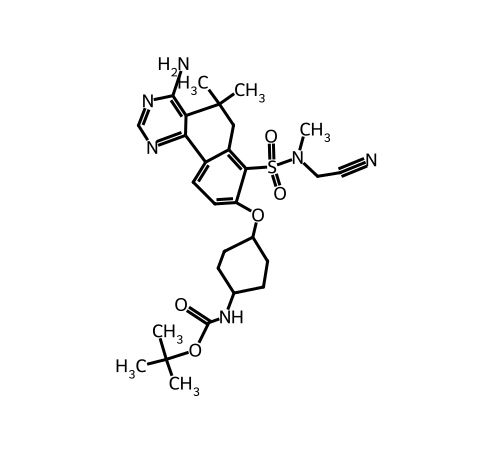 CN(CC#N)S(=O)(=O)c1c(OC2CCC(NC(=O)OC(C)(C)C)CC2)ccc2c1CC(C)(C)c1c(N)ncnc1-2